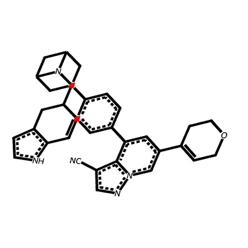 N#Cc1cnn2cc(C3=CCOCC3)cc(-c3ccc(N4CC5CC(C4)N5CC4C=Cc5[nH]ccc5C4)nc3)c12